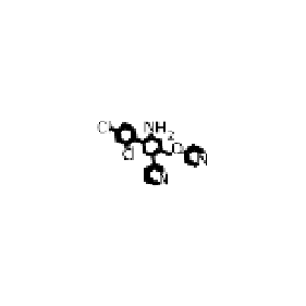 NC1CC(COc2ccncc2)=C(c2cccnc2)CC1c1ccc(Cl)cc1Cl